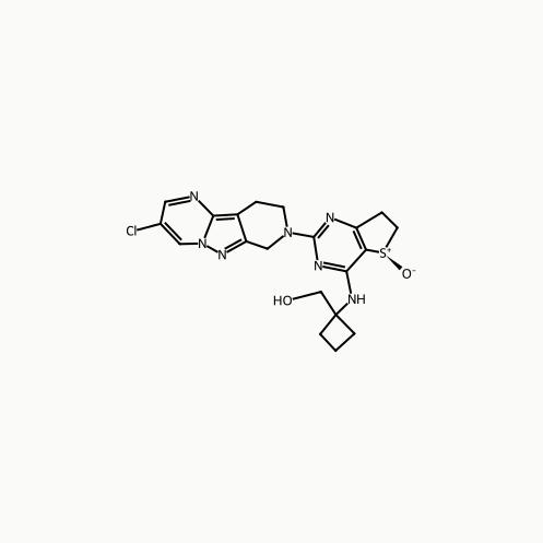 [O-][S@+]1CCc2nc(N3CCc4c(nn5cc(Cl)cnc45)C3)nc(NC3(CO)CCC3)c21